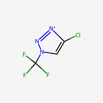 FC(F)(F)N1C=C(Cl)[N+]=N1